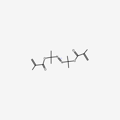 C=C(C)C(=O)OC(C)(C)/N=N/C(C)(C)OC(=O)C(=C)C